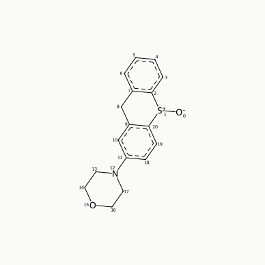 [O-][S+]1c2ccccc2Cc2cc(N3CCOCC3)ccc21